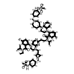 CCN(C(=O)c1cc(F)ccc1N1CCN(CC2CN(C[C@H]3CC[C@H](NS(C)(=O)=O)CC3)C2)c2nc(CCN(C(=O)c3cc(F)ccc3N3CCN(C4CCCN(C[C@H]5CC[C@H](NS(C)(=O)=O)CC5)CC4)c4ncncc43)C(C)C)ncc21)C(C)C